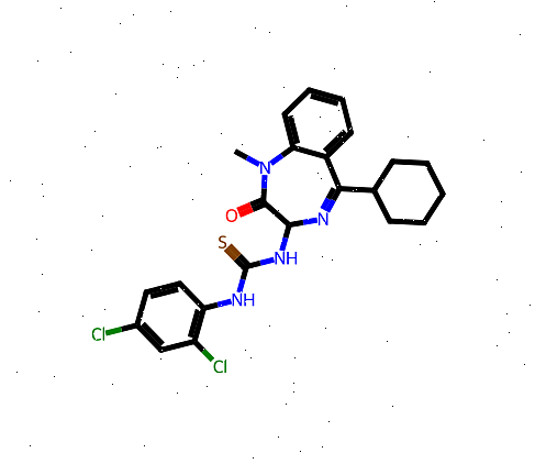 CN1C(=O)C(NC(=S)Nc2ccc(Cl)cc2Cl)N=C(C2CCCCC2)c2ccccc21